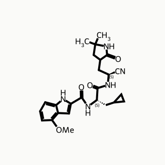 COc1cccc2[nH]c(C(=O)N[C@@H](CC3CC3)C(=O)N[C@H](C#N)CC3CC(C)(C)NC3=O)cc12